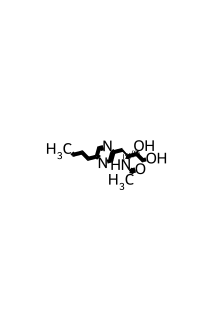 CCCCc1cnc(C[C@H](NC(C)=O)[C@H](O)CO)cn1